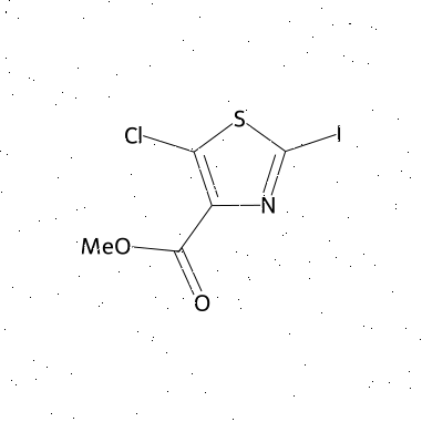 COC(=O)c1nc(I)sc1Cl